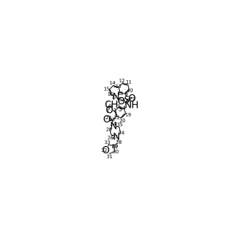 COc1cc(NS(=O)(=O)c2cccc3cccnc23)ccc1C(=O)N1CCN(C[C@@H]2CCOC2)CC1